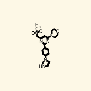 CS(=O)(=O)Cc1cc(N2CCOCC2)nc(-c2ccc(N3C=CNC3)cc2)n1